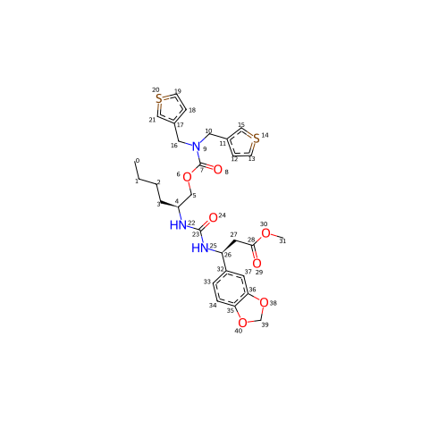 CCCC[C@@H](COC(=O)N(Cc1ccsc1)Cc1ccsc1)NC(=O)N[C@@H](CC(=O)OC)c1ccc2c(c1)OCO2